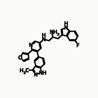 Cc1n[nH]c2ccc(-c3cc(NC[C@@H](N)Cc4c[nH]c5ccc(F)cc45)cnc3-c3ccoc3)cc12